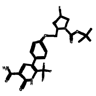 CC(C)(C)OC(=O)N1CC(F)CC1COc1ccc(-c2cc(C(N)=O)c(=O)[nH]c2C(F)(F)F)cc1